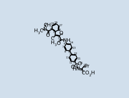 Cc1c(C(=O)Nc2ccc(-c3ccc(S(=O)(=O)N[C@H](C(=O)O)C(C)C)cc3)cc2)oc2cccc(C(=O)N(C)C)c12